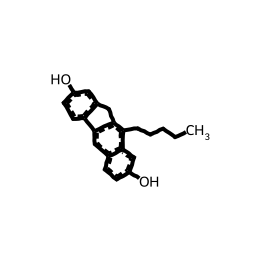 CCCCCc1c2c(cc3ccc(O)cc13)-c1ccc(O)cc1C2